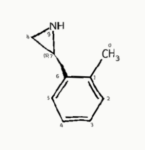 Cc1ccccc1[C@H]1CN1